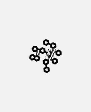 c1ccc(-c2cccc(N(c3ccccc3)c3nc(-c4ccc5c6ccccc6n(-c6cccc7ccccc67)c5c4)nc(N(c4ccccc4)c4cccc(-c5ccccc5)c4)n3)c2)cc1